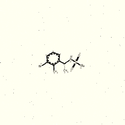 Cc1c(Br)cccc1[C@@H](C)NS(=O)(=O)C(C)(C)C